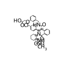 CS(=O)(=O)N[C@H]1CCCC[C@@H]1N1C(=O)c2ccccc2[C@@H](C(=O)NCc2cccc(OCC(=O)O)c2)[C@@H]1c1ccc(Cl)cc1